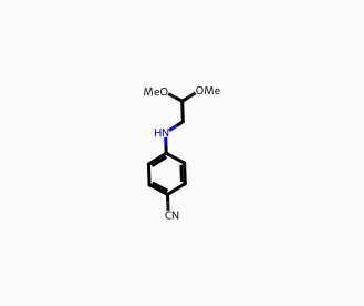 COC(CNc1ccc(C#N)cc1)OC